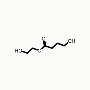 O=C(CCCO)OCCO